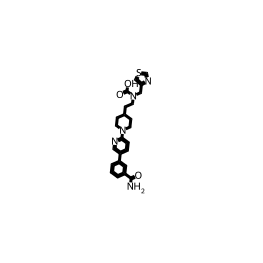 NC(=O)c1cccc(-c2ccc(N3CCC(CCN(Cc4cscn4)C(=O)O)CC3)nc2)c1